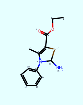 CCOC(=O)C1=C(C)N(c2ccccc2)C(N)S1